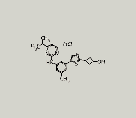 Cc1cc(Nc2nccc(C(C)C)n2)cc(-c2cnc(C3CC(O)C3)s2)c1.Cl